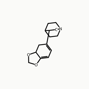 C1=C2OCOC2CC(C2CN3CCC2CC3)=C1